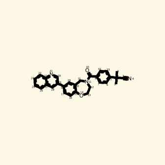 CC(C)(C#N)c1ccc(C(=O)N2CCOc3ccc(-c4cnc5ccccc5c4)cc3C2)cc1